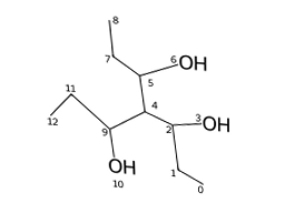 CCC(O)C(C(O)CC)C(O)CC